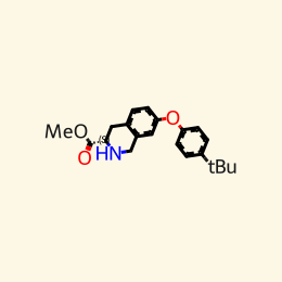 COC(=O)[C@@H]1Cc2ccc(Oc3ccc(C(C)(C)C)cc3)cc2CN1